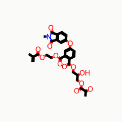 C=C(C)C(=O)OCCOC(=O)c1cc(Oc2ccc3c(c2)C(=O)N(C)C3=O)ccc1C(=O)OCC(O)COC(=O)C(C)=O